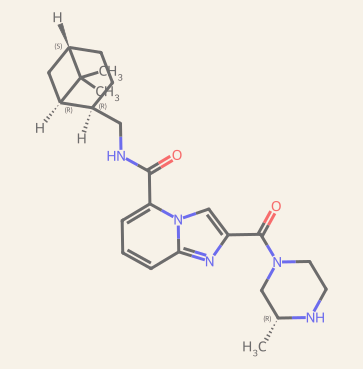 C[C@@H]1CN(C(=O)c2cn3c(C(=O)NC[C@@H]4CC[C@H]5C[C@H]4C5(C)C)cccc3n2)CCN1